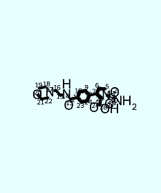 NS(=O)(=O)n1ccc(-c2ccc(C(=O)NCCN3CCOCC3)cc2)c1C(=O)O